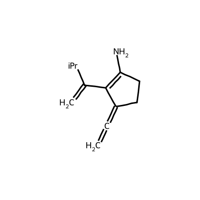 C=C=C1CCC(N)=C1C(=C)C(C)C